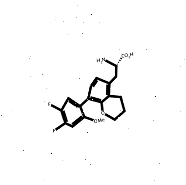 COc1cc(F)c(F)cc1-c1ccc(C[C@H](N)C(=O)O)c2c1OCCC2